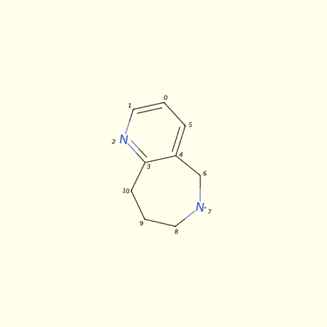 c1cnc2c(c1)C[N]CCC2